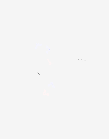 CNC1CCC(Oc2ncnc3sc4c(c23)[C@@H](CCc2ncco2)CC4)CC1